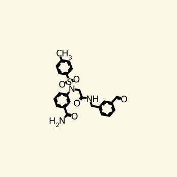 Cc1ccc(S(=O)(=O)N(CC(=O)NCc2cccc(C=O)c2)c2cccc(C(N)=O)c2)cc1